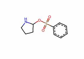 O=S(=O)(OC1CCCN1)c1ccccc1